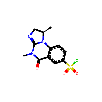 C[C@@H]1CN=C2N(C)C(=O)c3cc(S(=O)(=O)Cl)ccc3N21